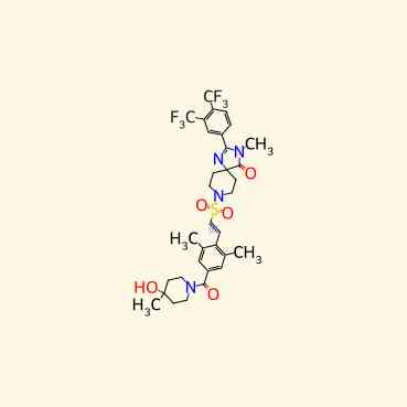 Cc1cc(C(=O)N2CCC(C)(O)CC2)cc(C)c1/C=C/S(=O)(=O)N1CCC2(CC1)N=C(c1ccc(C(F)(F)F)c(C(F)(F)F)c1)N(C)C2=O